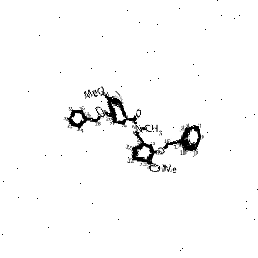 COc1cc(C(=O)N(C)Cc2ccc(OC)c(OCc3ccccc3)c2)ccc1OCc1ccccc1